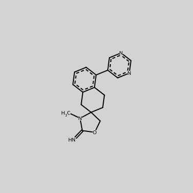 CN1C(=N)OCC12CCc1c(cccc1-c1cncnc1)C2